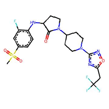 CS(=O)(=O)c1ccc(NC2CCN(C3CCN(c4noc(CC(F)(F)F)n4)CC3)C2=O)c(F)c1